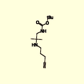 C#CCCCNC(C)(C)CNC(=O)OC(C)(C)C